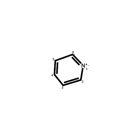 [C]1=[N+]C=CC=C1